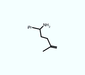 C=C(C)CCC(N)C(C)C